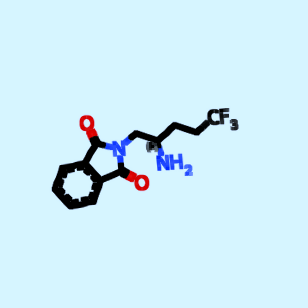 N[C@H](CCC(F)(F)F)CN1C(=O)c2ccccc2C1=O